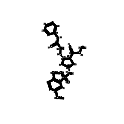 COc1ccc(OC)c(S(=O)(=O)N[C@@H]2C[C@H](CNC(=O)Oc3ccccc3)N(C(=O)OC(C)(C)C)C2)c1